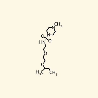 CCC(C)OCCOCCNS(=O)(=O)N1CCN(C)CC1